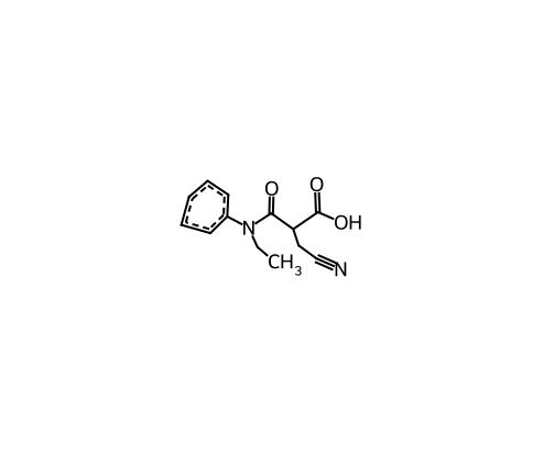 CCN(C(=O)C(CC#N)C(=O)O)c1ccccc1